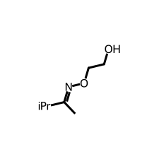 CC(=NOCCO)C(C)C